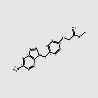 COC(=O)COc1ccc(Cn2ccc3cc(N)ccc32)cc1